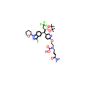 CN(C)C(=O)/C=C/CN(CCOc1ccc(/C(=C(/CC(F)(F)F)B2OC(C)(C)C(C)(C)O2)c2ccc3c(c2)c(F)nn3C2CCCCO2)cn1)C(=O)O